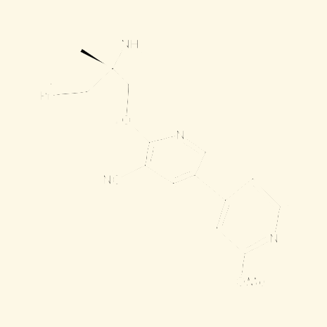 COc1cc(-c2cnc(OC[C@@](C)(N)CC(C)C)c(C#N)c2)ccn1